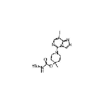 CC(C)(C)NC(=O)OC1(C)CCN(c2ncc(I)c3nncn23)CC1